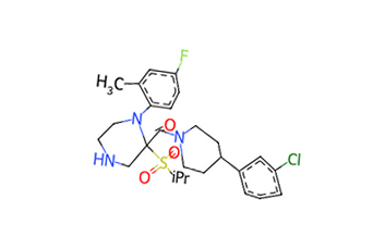 Cc1cc(F)ccc1N1CCNCC1(C(=O)N1CCC(c2cccc(Cl)c2)CC1)S(=O)(=O)C(C)C